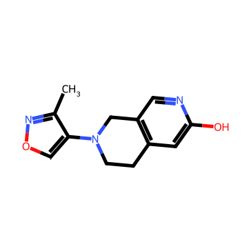 Cc1no[c]c1N1CCc2cc(O)ncc2C1